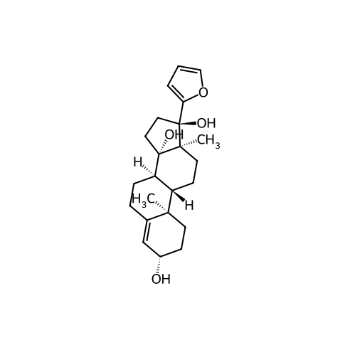 C[C@]12CC[C@H]3[C@@H](CCC4=C[C@@H](O)CC[C@@]43C)[C@@]1(O)CC[C@]2(O)c1ccco1